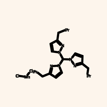 CC(C)Cc1ccn(C(n2ccc(CC(C)C)n2)n2ccc(CC(C)C)n2)n1.[Cl][Mn][Cl]